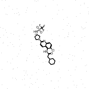 O=C(CC1CCCCC1)Nc1c(Cl)ccc2nc(N3CC[C@H](NS(=O)(=O)C(F)(F)F)C3)ccc12